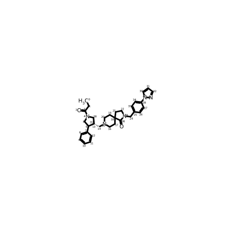 CCC(=O)N1CC(c2ccccc2)[C@@H](CN2CCC3(CC2)CCN(Cc2ccc(-n4cccn4)cc2)C3=O)C1